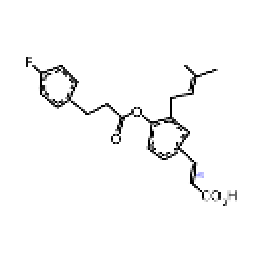 CC(C)=CCc1cc(/C=C/C(=O)O)ccc1OC(=O)CCc1ccc(F)cc1